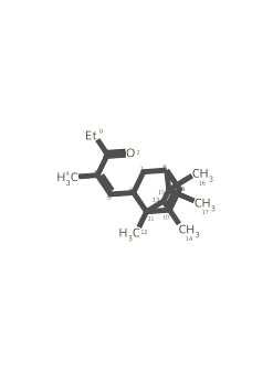 CCC(=O)C(C)=CC1CC2C=CC1(C)C(C)C2(C)C